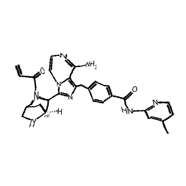 C=CC(=O)N1C2CN[C@@H](C2)C1c1nc(-c2ccc(C(=O)Nc3cc(C)ccn3)cc2)c2c(N)nccn12